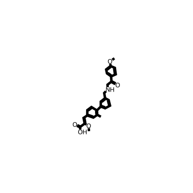 CO/C(=C\c1ccc(-c2cccc(CNCC(=O)c3ccc(OC)cc3)c2)c(C)c1)C(=O)O